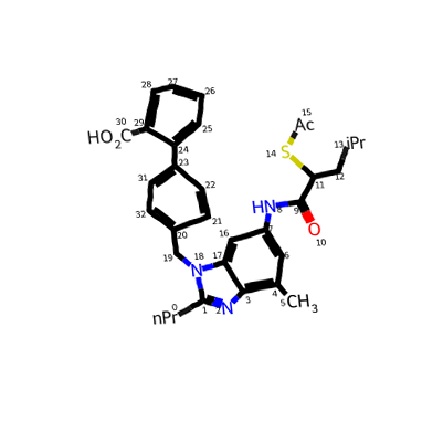 CCCc1nc2c(C)cc(NC(=O)C(CC(C)C)SC(C)=O)cc2n1Cc1ccc(-c2ccccc2C(=O)O)cc1